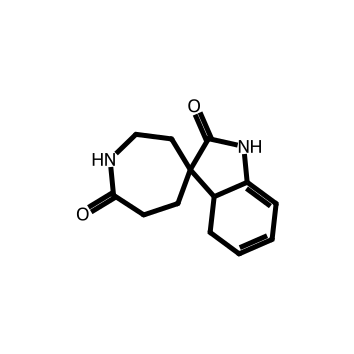 O=C1CCC2(CCN1)C(=O)NC1=CC=CCC12